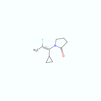 C/C(F)=C(\C1CC1)N1CCCC1=O